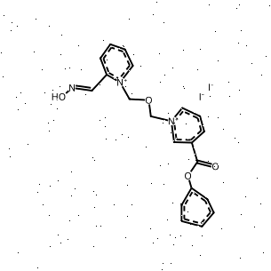 O=C(Oc1ccccc1)c1ccc[n+](COC[n+]2ccccc2C=NO)c1.[I-].[I-]